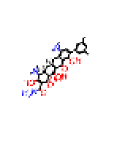 Cc1cc(C)cc(-c2cc(N(C)C)c3c(c2O)C(=O)C2=C(O)[C@@]4(O)C(=O)C(C(N)=O)=C(O)[C@H](N(C)C)[C@H]4C[C@H]2C3)c1